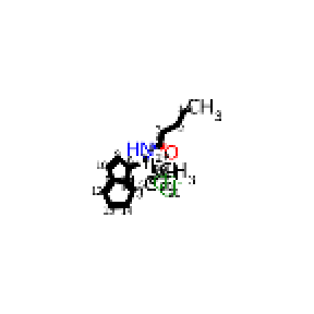 CCCCC(=O)[NH][Ti+2]([CH]1C=Cc2ccccc21)[SiH](C)C.[Cl-].[Cl-]